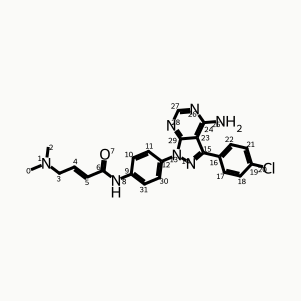 CN(C)C/C=C/C(=O)Nc1ccc(-n2nc(-c3ccc(Cl)cc3)c3c(N)ncnc32)cc1